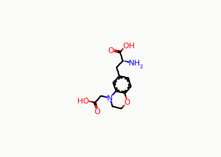 N[C@@H](Cc1ccc2c(c1)N(CC(=O)O)CCO2)C(=O)O